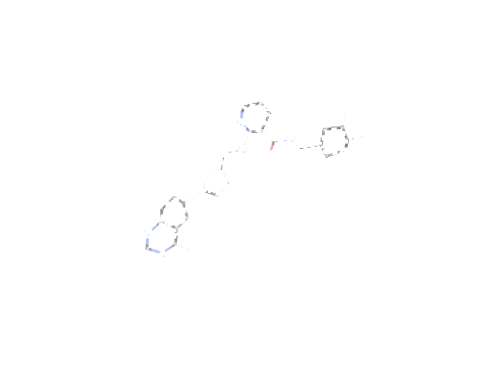 O=C(NCc1ccc(F)c(F)c1)c1cccnc1NCC1CC=C(c2ccc3ncnc(Cl)c3c2)S1